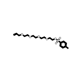 C=CCOCCOCCOCCOCCOS(=O)(=O)c1ccc(C)cc1